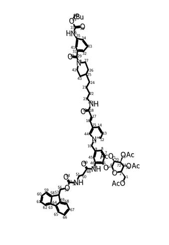 CC(=O)OC[C@H]1O[C@H](Oc2ccc(C[n+]3cccc(/C=C/C(=O)NCCCCC4CCN(C(=O)c5cccc(NC(=O)OC(C)(C)C)c5)CC4)c3)cc2NC(=O)CCNC(=O)OCC2c3ccccc3-c3ccccc32)[C@@H](OC(C)=O)[C@@H](OC(C)=O)[C@@H]1OC(C)=O